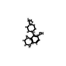 NN1CCN(c2c(O)ccc3c2OCCO3)CC1